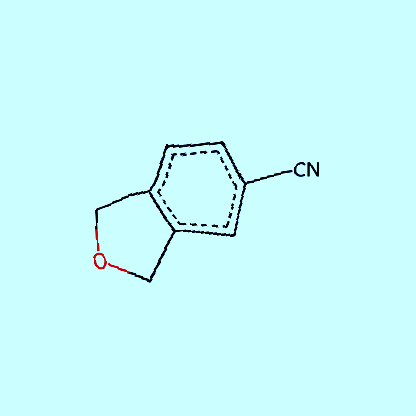 N#Cc1ccc2c(c1)COC2